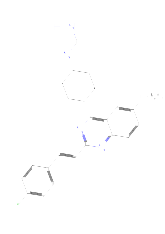 COc1ccc2nc(C=Cc3ccc(Cl)cc3)nc([C@H]3CC[C@@H](NCN)CC3)c2c1.Cl.Cl